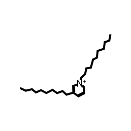 CCCCCCCCCCC[n+]1cccc(CCCCCCCCCC)c1